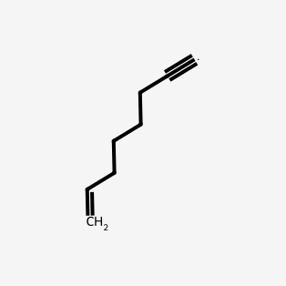 [C]#CCCCCC=C